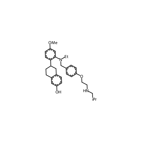 CCN(Cc1ccc(OCCNCC(C)C)cc1)c1cc(OC)ccc1C1CCc2cc(O)ccc2C1